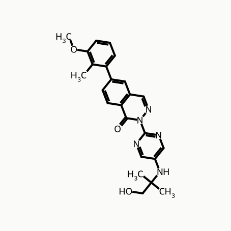 COc1cccc(-c2ccc3c(=O)n(-c4ncc(NC(C)(C)CO)cn4)ncc3c2)c1C